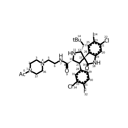 CC(=O)N1CCN(CCNC(=O)[C@@H]2N[C@H](CC(C)(C)C)[C@]3(C(=O)Nc4cc(Cl)c(I)cc43)[C@H]2c2ccc(F)c(Cl)c2)CC1